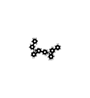 c1ccc(-c2cccc(-n3c4ccccc4c4cc(-c5ccc(-n6c7ccccc7c7cc(-c8ccccc8)ccc76)cc5)ccc43)c2)cc1